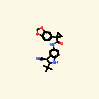 CC(C)(C)C1Nc2ccc(NC(=O)C3(c4ccc5c(c4)OCO5)CC3)cc2C1C#N